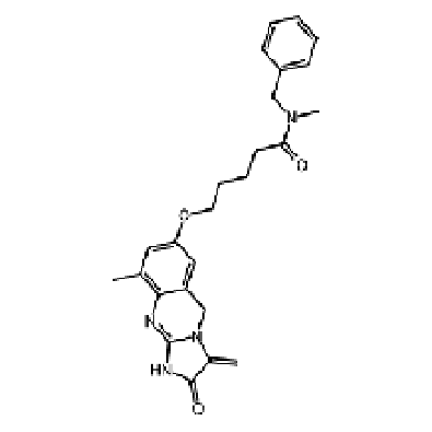 C=c1c(=O)[nH]c2n1Cc1cc(OCCCCC(=O)N(C)Cc3ccccc3)cc(C)c1N=2